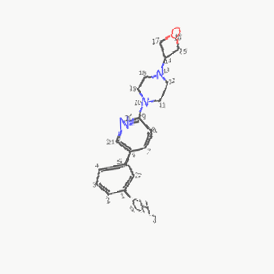 Cc1cccc(-c2ccc(N3CCN(C4COC4)CC3)nc2)c1